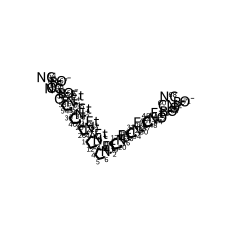 CC[N+]1(C)CCCC1.CC[N+]1(C)CCCC1.CC[N+]1(C)CCCC1.CC[N+]1(C)CCCC1.CC[N+]1(C)CCCC1.CC[N+]1(C)CCCC1.CC[N+]1(C)CCCC1.CC[N+]1(C)CCCC1.N#CB([O-])[O-].N#CB([O-])[O-].N#CB([O-])[O-].N#CB([O-])[O-]